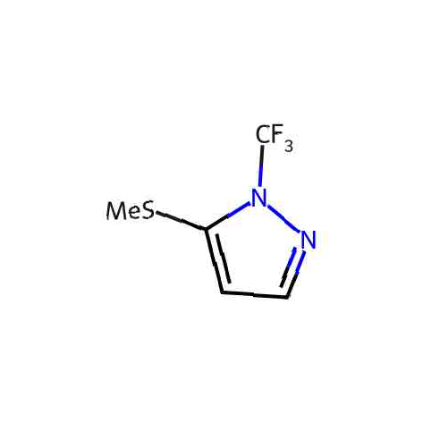 CSc1ccnn1C(F)(F)F